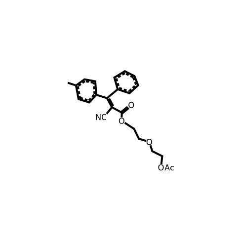 CC(=O)OCCOCCOC(=O)/C(C#N)=C(\c1ccccc1)c1ccc(C)cc1